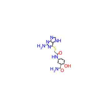 NC(=O)c1cc(NC(=O)CSc2nc(N)nc3nc[nH]c23)ccc1O